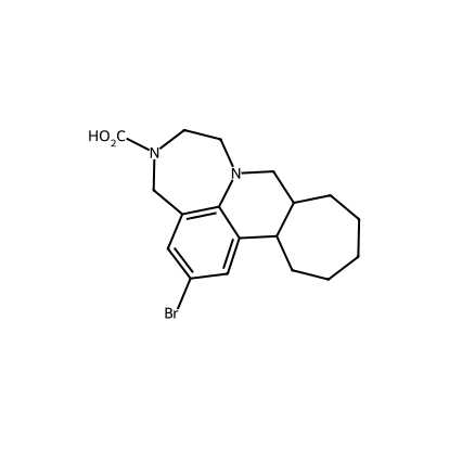 O=C(O)N1CCN2CC3CCCCCC3c3cc(Br)cc(c32)C1